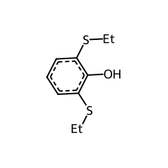 CCSc1cccc(SCC)c1O